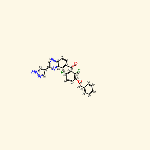 O=C(c1ccc2ncc(-c3cn[nH]c3)nc2c1)c1c(F)ccc(OCc2ccccc2)c1F